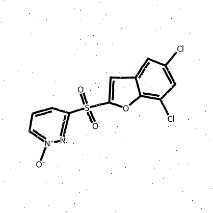 O=S(=O)(c1ccc[n+]([O-])n1)c1cc2cc(Cl)cc(Cl)c2o1